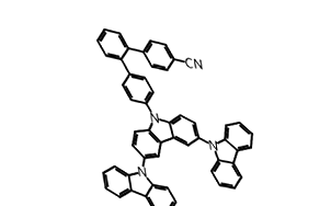 N#Cc1ccc(-c2ccccc2-c2ccc(-n3c4ccc(-n5c6ccccc6c6ccccc65)cc4c4cc(-n5c6ccccc6c6ccccc65)ccc43)cc2)cc1